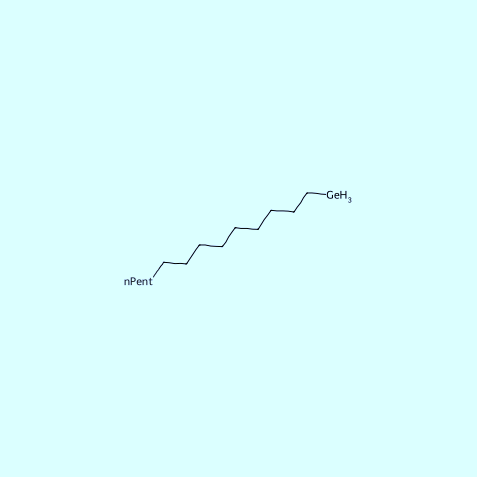 CCCCCCCCCCCCC[CH2][GeH3]